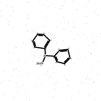 C[NH][Al]([c]1ccccc1)[c]1ccccc1